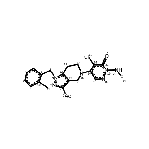 CC(=O)c1nn(Cc2ccccc2C)c2c1CN(c1cnn(NF)c(=O)c1Cl)CC2